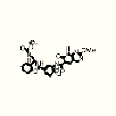 COc1ncc2cc(C(=O)Nc3cc(C(=O)NC(CNC(=O)OC(C)(C)C)c4ccccc4)ccc3Cl)c(=O)[nH]c2n1